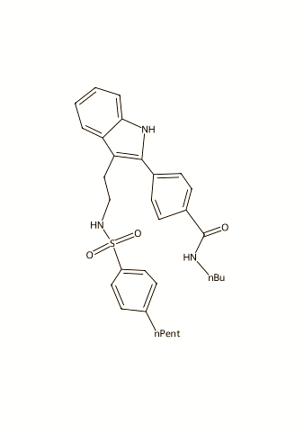 CCCCCc1ccc(S(=O)(=O)NCCc2c(-c3ccc(C(=O)NCCCC)cc3)[nH]c3ccccc23)cc1